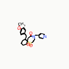 COc1ccc(CC2CCCCC23CC(=O)N(Cc2ccncc2)CCS3(=O)=O)cc1